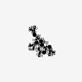 CNC(=O)CCN(CCC(=O)NC)S(=O)(=O)c1cccc(Nc2nc(Nc3cccc(S(=O)(=O)N(CCC(=O)NC)CCC(=O)NC)c3)nc(Nc3ccc(-c4ccc(Nc5nc(Nc6cccc(S(=O)(=O)N(CCC(=O)NC)CCC(=O)NC)c6)nc(Nc6cccc(S(=O)(=O)N(CCC(=O)NC)CCC(=O)NC)c6)n5)cc4S(=O)(=O)O)c(S(=O)(=O)O)c3)n2)c1